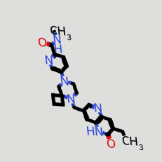 CCc1cc2ncc(CN3CCN(c4ccc(C(=O)NC)nc4)CC34CCC4)cc2[nH]c1=O